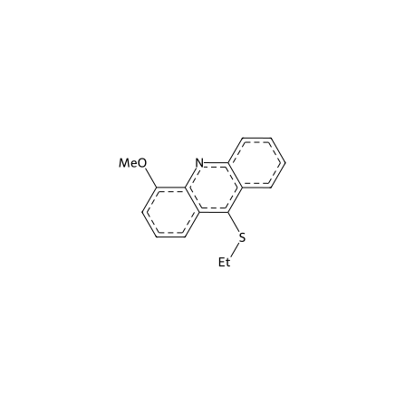 CCSc1c2ccccc2nc2c(OC)cccc12